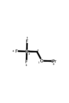 CC(C)OC[B-](F)(F)F